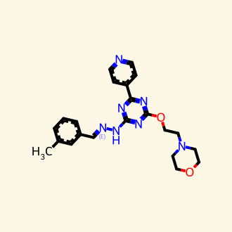 Cc1cccc(/C=N/Nc2nc(OCCN3CCOCC3)nc(-c3ccncc3)n2)c1